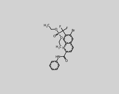 CCOP(=O)(OCC)C(F)(F)c1cc2nc(C(=O)Nc3ccccc3)ccc2cc1Br